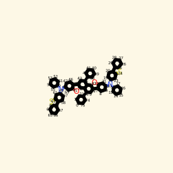 c1ccc(-c2cc3c4ccc(N(c5ccccc5)c5ccc6c(c5)sc5ccccc56)cc4oc3c3c(-c4ccccc4)cc4c5ccc(N(c6ccccc6)c6ccc7c(c6)sc6ccccc67)cc5oc4c23)cc1